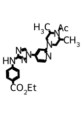 CCOC(=O)c1ccc(Nc2ncn(-c3ccnc(N4CC(C)N(C(C)=O)C(C)C4)c3)n2)cc1